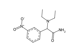 CCN(CC)C(C(N)=O)c1cccc([N+](=O)[O-])c1